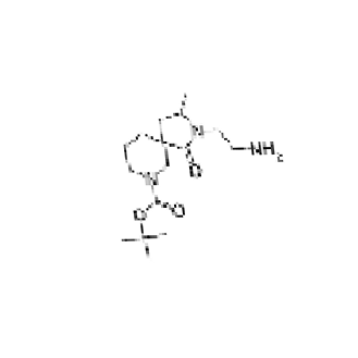 CC1CC2(CCCN(C(=O)OC(C)(C)C)C2)C(=O)N1CCN